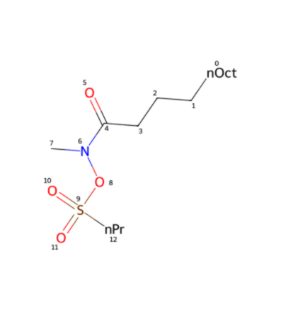 CCCCCCCCCCCC(=O)N(C)OS(=O)(=O)CCC